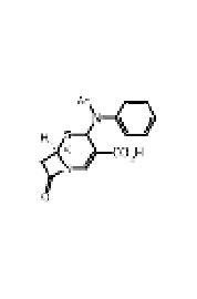 CC(=O)N(c1ccccc1)C1S[C@@H]2CC(=O)N2C=C1C(=O)O